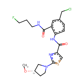 CO[C@H]1CCN(c2nc(C(=O)Nc3ccc(CCl)cc3C(=O)NCCCF)cs2)C1